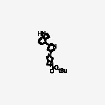 CC(C)(C)OC(=O)N1CC2CN(c3cncc(-c4cccc5[nH]ccc45)c3)CC21